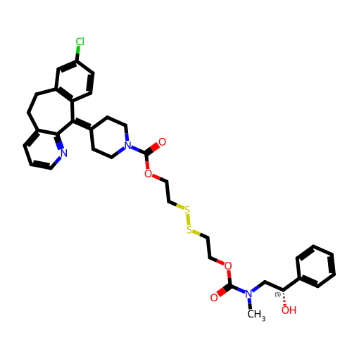 CN(C[C@@H](O)c1ccccc1)C(=O)OCCSSCCOC(=O)N1CCC(=C2c3ccc(Cl)cc3CCc3cccnc32)CC1